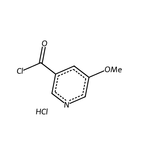 COc1cncc(C(=O)Cl)c1.Cl